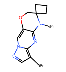 CC(C)c1cnn2cc3c(nc12)N(C(C)C)C1(CCC1)CO3